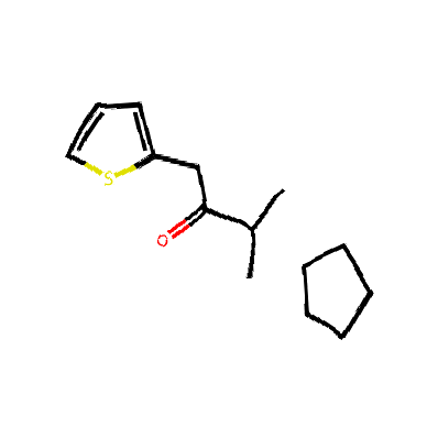 C1CCCC1.CC(C)C(=O)Cc1cccs1